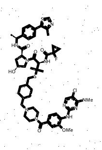 CNc1nc(Nc2ccc(C(=O)N3CCN(CC4CCC(CSC(C)(C)[C@H](NC(=O)C5(F)CC5)C(=O)N5C[C@H](O)C[C@H]5C(=O)N[C@@H](C)c5ccc(-c6scnc6C)cc5)CC4)CC3)cc2OC)ncc1Cl